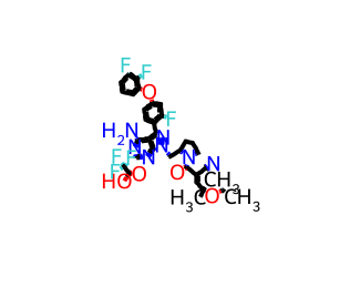 CCOC(C)(C)C=C(C#N)C(=O)N1CCCC1Cn1nc(-c2ccc(Oc3cccc(F)c3F)cc2F)c2c(N)ncnc21.O=C(O)C(F)(F)F